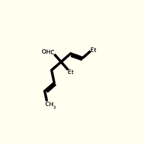 CC=CCC(C=O)(C=CCC)CC